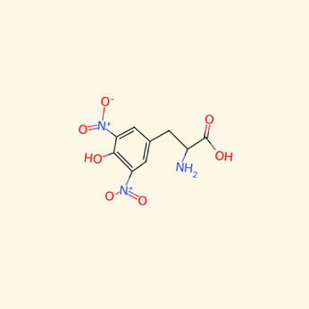 NC(Cc1cc([N+](=O)[O-])c(O)c([N+](=O)[O-])c1)C(=O)O